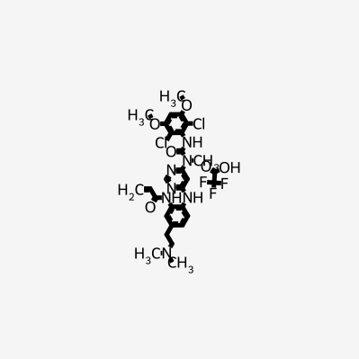 C=CC(=O)Nc1cc(CCN(C)C)ccc1Nc1cc(N(C)C(=O)Nc2c(Cl)c(OC)cc(OC)c2Cl)ncn1.O=C(O)C(F)(F)F